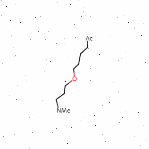 CNCCCOCCCCC(C)=O